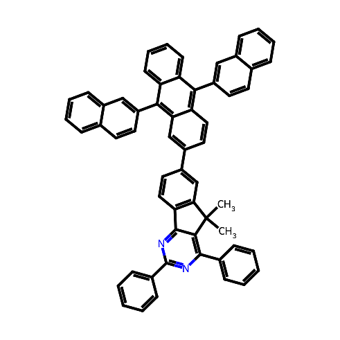 CC1(C)c2cc(-c3ccc4c(-c5ccc6ccccc6c5)c5ccccc5c(-c5ccc6ccccc6c5)c4c3)ccc2-c2nc(-c3ccccc3)nc(-c3ccccc3)c21